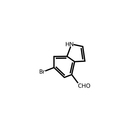 O=Cc1cc(Br)cc2[nH]ccc12